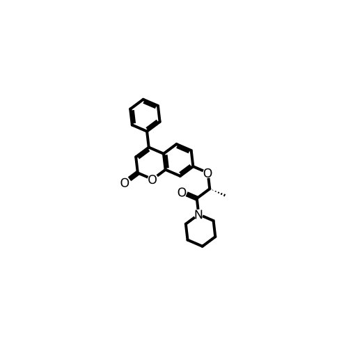 C[C@@H](Oc1ccc2c(-c3ccccc3)cc(=O)oc2c1)C(=O)N1CCCCC1